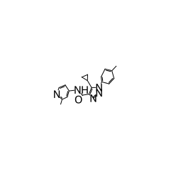 Cc1ccc(-n2nnc(C(=O)Nc3ccnc(C)c3)c2C2CC2)cc1